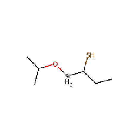 CCC(S)[SiH2]OC(C)C